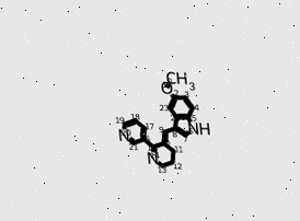 COc1ccc2[nH]cc(/C=C3\CCCN=C3c3cccnc3)c2c1